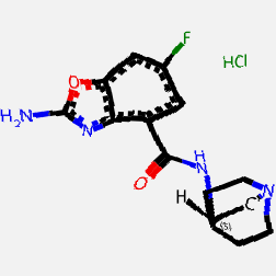 Cl.Nc1nc2c(C(=O)N[C@@H]3CN4CCC3CC4)cc(F)cc2o1